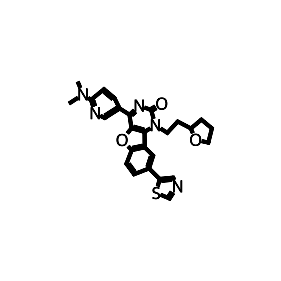 CN(C)c1ccc(-c2nc(=O)n(CCC3CCCO3)c3c2oc2ccc(-c4cncs4)cc23)cn1